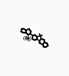 CC1(C)c2cc(-c3ccc4ccccc4c3[N+](=O)[O-])ccc2-c2cc3ccccc3cc21